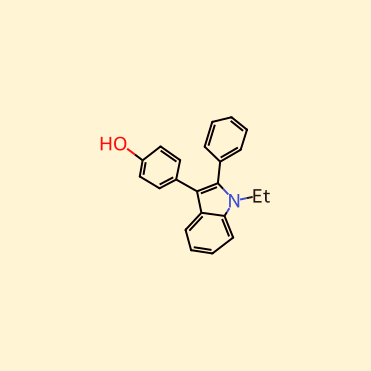 CCn1c(-c2ccccc2)c(-c2ccc(O)cc2)c2ccccc21